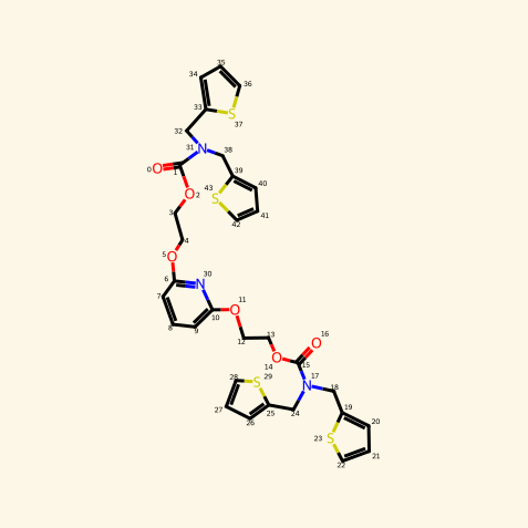 O=C(OCCOc1cccc(OCCOC(=O)N(Cc2cccs2)Cc2cccs2)n1)N(Cc1cccs1)Cc1cccs1